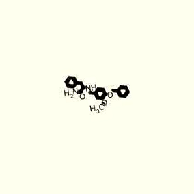 COc1cc(CNC(Cc2ccccc2)C(N)=O)ccc1OCc1ccccc1